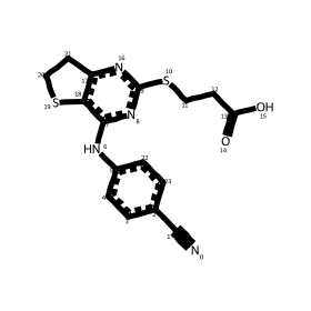 N#Cc1ccc(Nc2nc(SCCC(=O)O)nc3c2SCC3)cc1